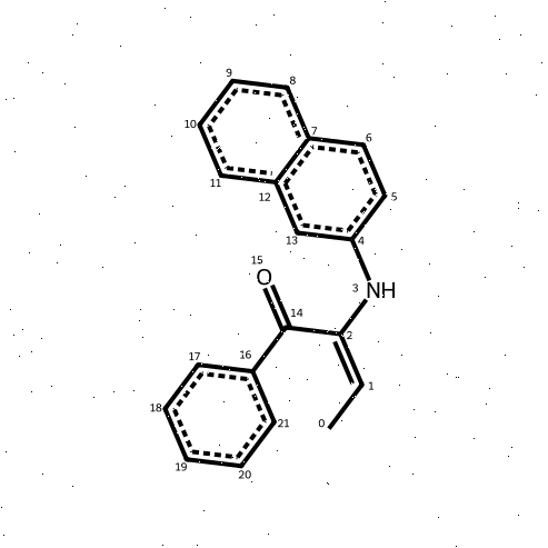 CC=C(Nc1ccc2ccccc2c1)C(=O)c1ccccc1